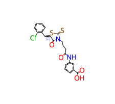 O=C(CCCN1C(=O)/C(=C/c2ccccc2Cl)SC1=S)Nc1cccc(C(=O)O)c1